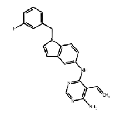 C=Cc1c(N)ncnc1Nc1ccc2c(ccn2Cc2cccc(F)c2)c1